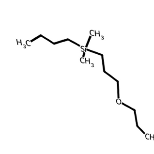 CCCC[Si](C)(C)CCCOCCC